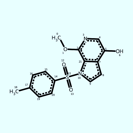 COc1ncc(O)c2ccn(S(=O)(=O)c3ccc(C)cc3)c12